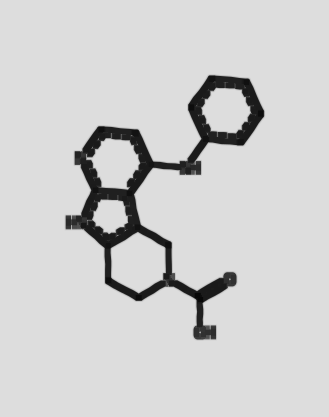 O=C(O)N1CCc2[nH]c3nccc(Nc4ccccc4)c3c2C1